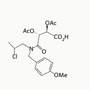 COc1ccc(CN(CC(C)Cl)C(=O)[C@H](OC(C)=O)[C@@H](OC(C)=O)C(=O)O)cc1